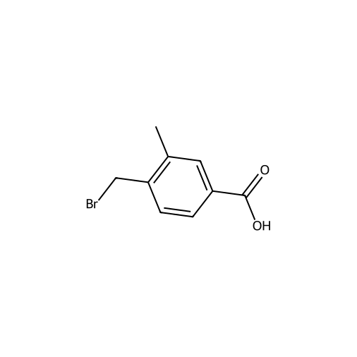 Cc1cc(C(=O)O)ccc1CBr